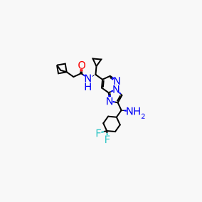 N[C@H](c1cn2ncc([C@H](NC(=O)CC34CC(C3)C4)C3CC3)cc2n1)C1CCC(F)(F)CC1